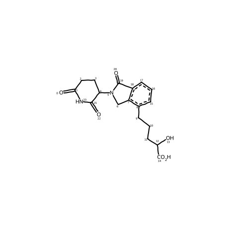 O=C1CCC(N2Cc3c(CCCC(O)C(=O)O)cccc3C2=O)C(=O)N1